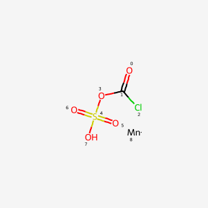 O=C(Cl)OS(=O)(=O)O.[Mn]